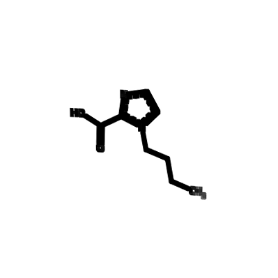 CCCCn1ccnc1C(=O)O